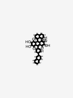 Oc1c(O)c(O)c2c(-c3cccc4ccccc34)c3c(O)c(O)c(O)c(O)c3c(-c3ccc(-c4ccc5ccccc5c4)cc3)c2c1O